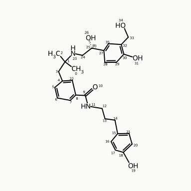 CC(C)(Cc1cccc(C(=O)NCCCc2ccc(O)cc2)c1)NC[C@H](O)c1ccc(O)c(CO)c1